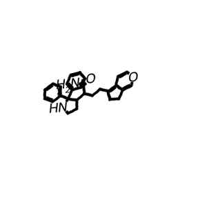 NC(=O)C(CCC1=C2C=COC=C2CC1)C1CCNC1(c1ccccc1)c1ccccc1